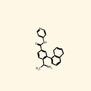 CC(N)c1ccc(C(=O)Nc2ccncc2)cc1-c1cccc2c1CC=CC2